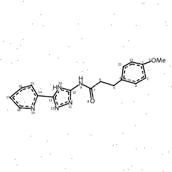 COc1ccc(CCC(=O)Nc2nnc(-c3ccccn3)[nH]2)cc1